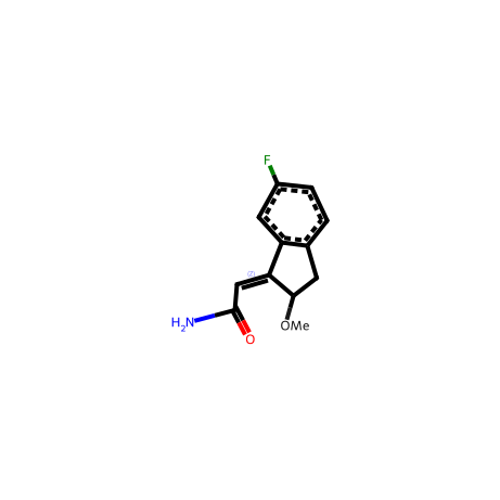 COC1Cc2ccc(F)cc2/C1=C/C(N)=O